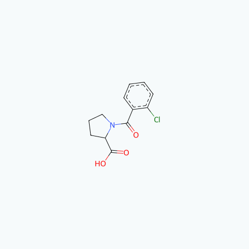 O=C(O)C1CCCN1C(=O)c1ccccc1Cl